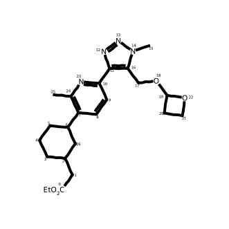 CCOC(=O)CC1CCCC(c2ccc(-c3nnn(C)c3COC3CCO3)nc2C)C1